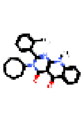 Cc1ccccc1-c1nc2c(c(=O)c3ccccc3n2C)c(=O)n1C1CCCCCC1